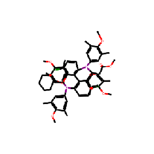 COC(=O)COc1c(Cl)ccc(P(c2cc(C)c(OC)c(C)c2)c2cc(C)c(OC)c(C)c2)c1-c1c(P(c2cc(C)c(OC)c(C)c2)c2cc(C)c(OC)c(C)c2)ccc(Cl)c1OC1CCCCC1